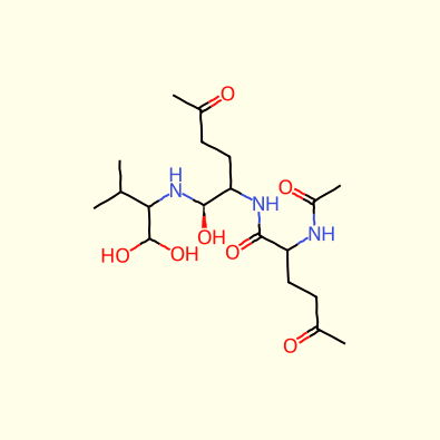 CC(=O)CCC(NC(C)=O)C(=O)NC(CCC(C)=O)[C@@H](O)NC(C(C)C)C(O)O